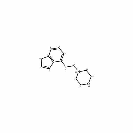 C1=Cc2c(cccc2OCN2CCOCC2)C1